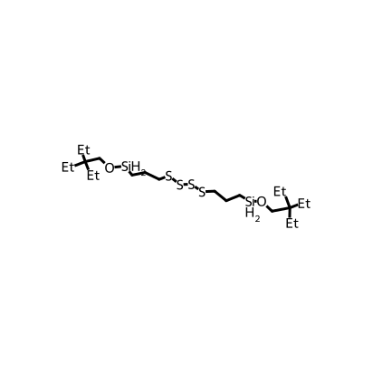 CCC(CC)(CC)CO[SiH2]CCCSSSSCCC[SiH2]OCC(CC)(CC)CC